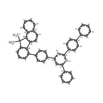 CC1(C)c2cccc(-c3ccc(-c4cc(-c5ccccc5)nc(-c5ccc(-c6ccccc6)cc5)n4)cc3)c2-c2ccc3ccccc3c21